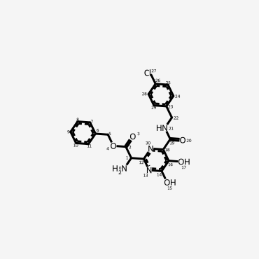 NC(C(=O)OCc1ccccc1)c1nc(O)c(O)c(C(=O)NCc2ccc(Cl)cc2)n1